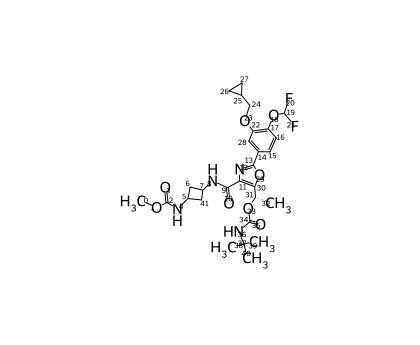 COC(=O)NC1CC(NC(=O)c2nc(-c3ccc(OC(F)F)c(OCC4CC4)c3)oc2[C@H](C)OC(=O)NC(C)(C)C)C1